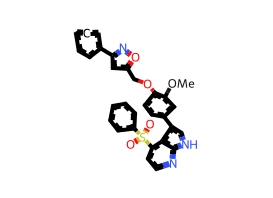 COc1cc(-c2c[nH]c3nccc(S(=O)(=O)c4ccccc4)c23)ccc1OCc1cc(-c2ccccc2)no1